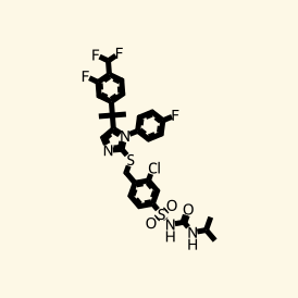 CC(C)NC(=O)NS(=O)(=O)c1ccc(CSc2ncc(C(C)(C)c3ccc(C(F)F)c(F)c3)n2-c2ccc(F)cc2)c(Cl)c1